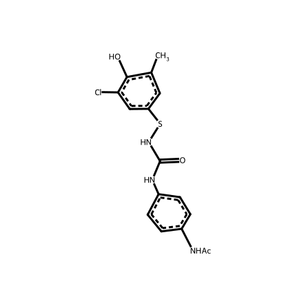 CC(=O)Nc1ccc(NC(=O)NSc2cc(C)c(O)c(Cl)c2)cc1